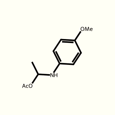 COc1ccc(NC(C)OC(C)=O)cc1